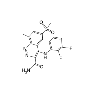 Cc1cc(S(C)(=O)=O)cc2c(Nc3cccc(F)c3F)c(C(N)=O)nnc12